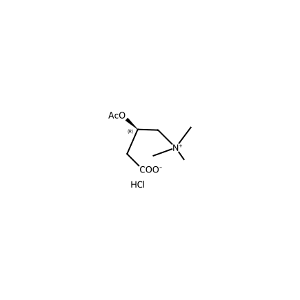 CC(=O)O[C@H](CC(=O)[O-])C[N+](C)(C)C.Cl